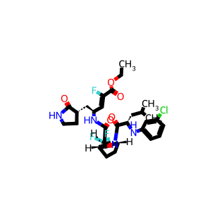 CCOC(=O)/C(F)=C/[C@H](C[C@@H]1CCNC1=O)NC(=O)[C@@H]1[C@H]2CC[C@H](CC2(F)F)N1C(=O)[C@H](CC(C)C)Nc1cccc(Cl)c1